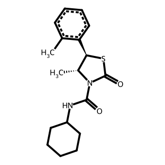 Cc1ccccc1[C@H]1SC(=O)N(C(=O)NC2CCCCC2)[C@@H]1C